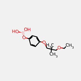 CCOCC(C)(C)COc1ccc(OB(O)O)cc1